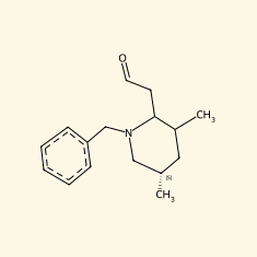 CC1C[C@H](C)CN(Cc2ccccc2)C1CC=O